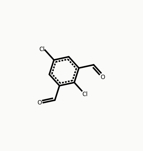 O=Cc1cc(Cl)cc(C=O)c1Cl